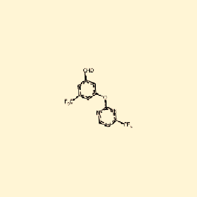 O=Cc1cc(Oc2nccc(C(F)(F)F)n2)cc(C(F)(F)F)c1